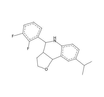 CC(C)c1ccc2c(c1)C1OCCC1C(c1cccc(F)c1F)N2